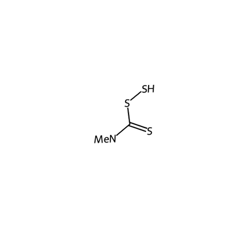 CNC(=S)SS